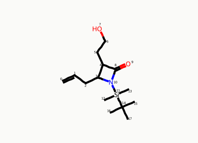 C=CCC1C(CCO)C(=O)N1[Si](C)(C)C(C)(C)C